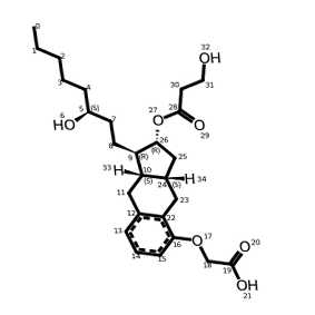 CCCCC[C@H](O)CC[C@@H]1[C@H]2Cc3cccc(OCC(=O)O)c3C[C@H]2C[C@H]1OC(=O)CCO